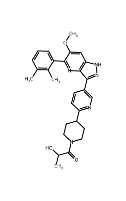 COc1cc2[nH]nc(-c3ccc(C4CCN(C(=O)C(C)O)CC4)nc3)c2nc1-c1cccc(C)c1C